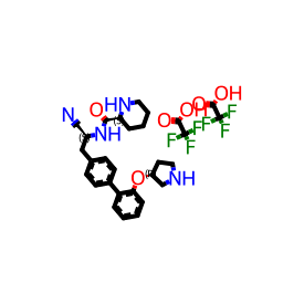 N#C[C@H](Cc1ccc(-c2ccccc2O[C@@H]2CCNC2)cc1)NC(=O)[C@@H]1CCCCN1.O=C(O)C(F)(F)F.O=C(O)C(F)(F)F